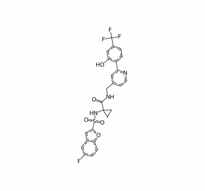 O=C(NCc1ccnc(-c2ccc(C(F)(F)F)cc2O)c1)C1(NS(=O)(=O)c2cc3cc(F)ccc3o2)CC1